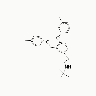 Cc1ccc(OCc2cc([CH]CNC(C)(C)C)ccc2Oc2cccc(C)c2)cc1